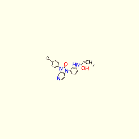 C=CC(O)Nc1cccc(-n2c(=O)n(-c3ccc(C4CC4)cc3)c3cnccc32)c1